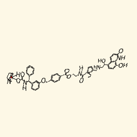 O=C(NC(c1ccccc1)c1cccc(OCc2ccc(C(=O)OCCNC(=O)c3ccc(CNCC(O)c4ccc(O)c5[nH]c(=O)ccc45)s3)cc2)c1)O[C@H]1CN2CCC1CC2